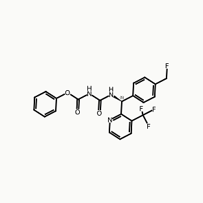 O=C(NC(=O)Oc1ccccc1)N[C@@H](c1ccc(CF)cc1)c1ncccc1C(F)(F)F